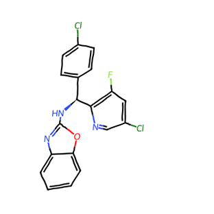 Fc1cc(Cl)cnc1[C@@H](Nc1nc2ccccc2o1)c1ccc(Cl)cc1